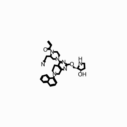 C=CC(=O)N1CCN(c2nc(OC[C@H]3NCC[C@@H]3O)nc3c2CCN(c2cccc4ccccc24)C3)CC1CC#N